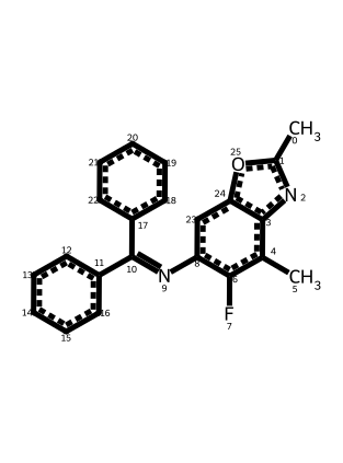 Cc1nc2c(C)c(F)c(N=C(c3ccccc3)c3ccccc3)cc2o1